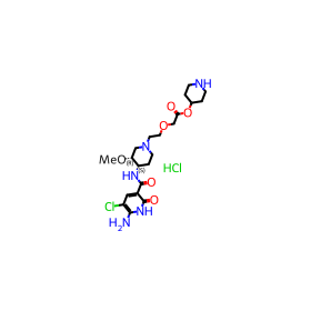 CO[C@@H]1CN(CCOCC(=O)OC2CCNCC2)CC[C@@H]1NC(=O)c1cc(Cl)c(N)[nH]c1=O.Cl